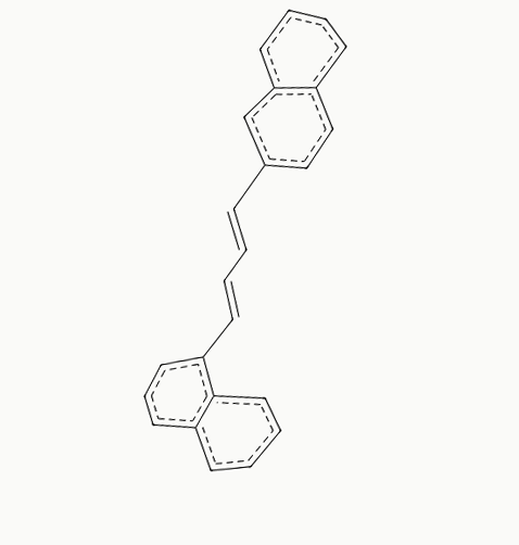 C(C=Cc1cccc2ccccc12)=Cc1ccc2ccccc2c1